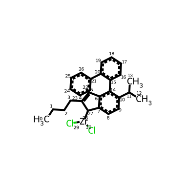 CCCCC1=Cc2c(ccc(C(C)C)c2-c2ccccc2-c2ccccc2)[CH]1[Zr]([Cl])[Cl]